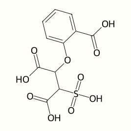 O=C(O)c1ccccc1OC(C(=O)O)C(C(=O)O)S(=O)(=O)O